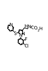 O=C(O)NCCc1cc(Sc2cccnc2)n(-c2cccc(Cl)c2F)n1